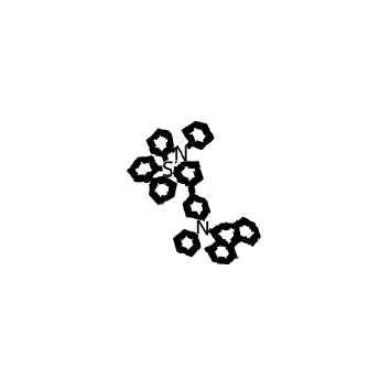 c1ccc(N2c3ccccc3[Si](c3ccccc3)(c3ccccc3)c3cc(-c4ccc(N(c5ccccc5)c5cc6ccccc6c6ccccc56)cc4)ccc32)cc1